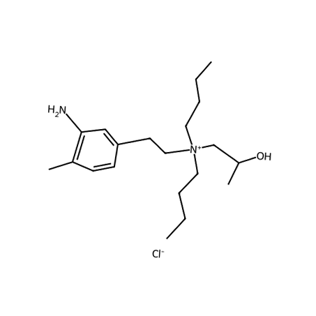 CCCC[N+](CCCC)(CCc1ccc(C)c(N)c1)CC(C)O.[Cl-]